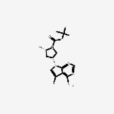 C[C@H]1C[C@@H](n2cc(I)c3c(N)ncnc32)CN1C(=O)OC(C)(C)C